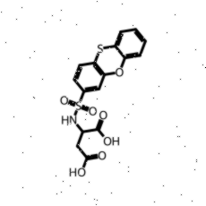 O=C(O)CC(NS(=O)(=O)c1ccc2c(c1)Oc1ccccc1S2)C(=O)O